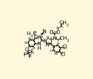 C=CCOC(=O)N(CC)C1CN(/C(=N\C#N)Nc2cc(OC(F)(F)F)ccc2OC)N=C1c1ccc(Cl)c(Cl)c1